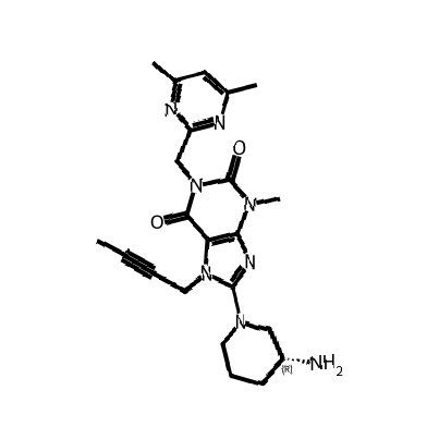 CC#CCn1c(N2CCC[C@@H](N)C2)nc2c1c(=O)n(Cc1nc(C)cc(C)n1)c(=O)n2C